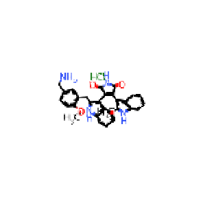 COc1ccc(CN)cc1Cc1[nH]c2ccccc2c1C1=C(c2c(C)[nH]c3ccccc23)C(=O)NC1=O.Cl